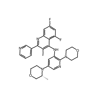 Cc1c(-c2cccnc2)nc2cc(F)cc(F)c2c1Nc1cc(N2CCOC[C@H]2C)cnc1N1CCOCC1